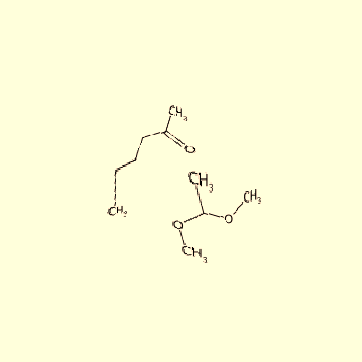 CCCCC(C)=O.COC(C)OC